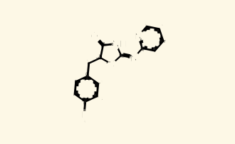 O=C1N/C(=N\c2ccccn2)SC1Cc1ccc(F)cc1